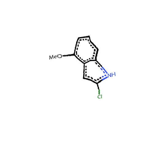 COc1cccc2[nH]c(Cl)cc12